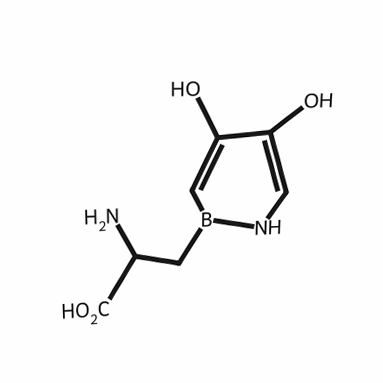 NC(CB1C=C(O)C(O)=CN1)C(=O)O